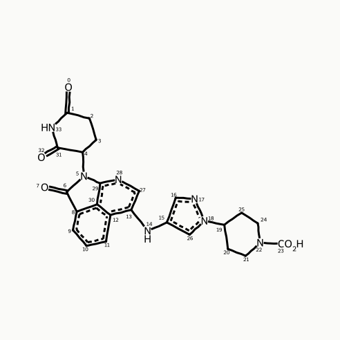 O=C1CCC(N2C(=O)c3cccc4c(Nc5cnn(C6CCN(C(=O)O)CC6)c5)cnc2c34)C(=O)N1